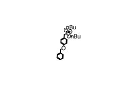 CCCCOP(=O)(Cc1ccc(OCc2ccccc2)cc1)OCCCC